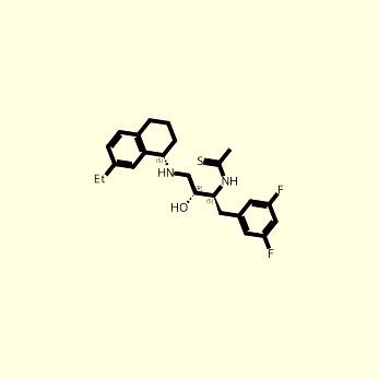 CCc1ccc2c(c1)[C@@H](NC[C@@H](O)[C@H](Cc1cc(F)cc(F)c1)NC(C)=S)CCC2